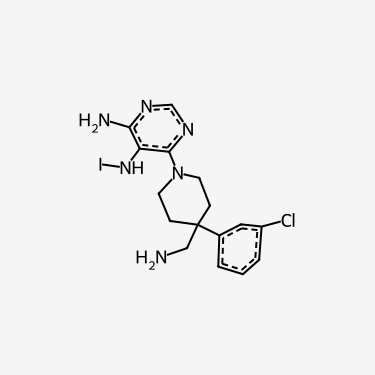 NCC1(c2cccc(Cl)c2)CCN(c2ncnc(N)c2NI)CC1